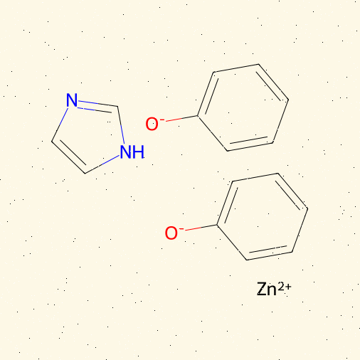 [O-]c1ccccc1.[O-]c1ccccc1.[Zn+2].c1c[nH]cn1